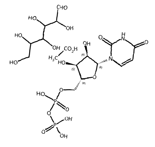 CC(=O)O.O=CC(O)C(O)C(O)C(O)CO.O=c1ccn([C@@H]2O[C@H](COP(=O)(O)OP(=O)(O)O)[C@@H](O)[C@H]2O)c(=O)[nH]1